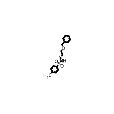 Cc1ccc(S(=O)(=O)NN=CCOCc2ccccc2)cc1